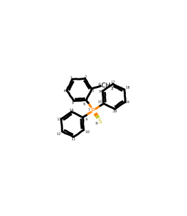 Cc1ccccc1P(=S)(c1ccccc1)c1ccccc1